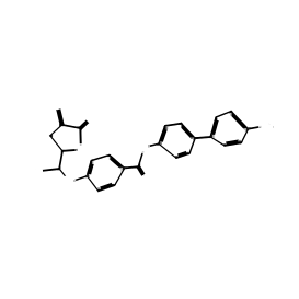 C=C1CC(C(CCC)Oc2ccc(C(=O)Oc3ccc(-c4ccc(C#N)cc4)cc3)cc2)OC1=O